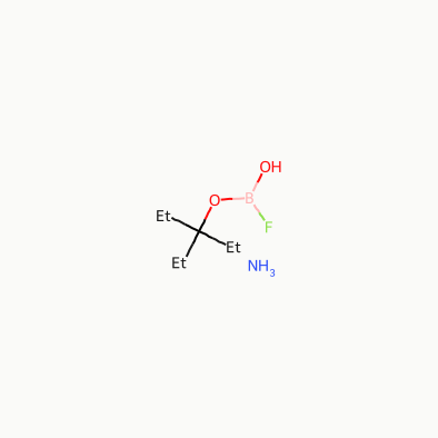 CCC(CC)(CC)OB(O)F.N